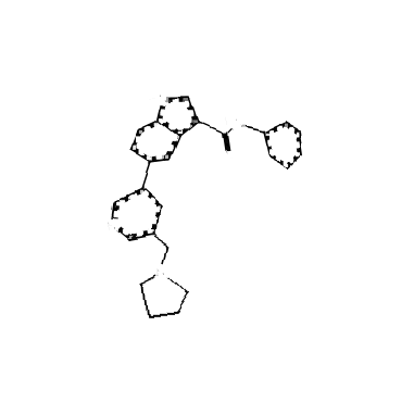 O=C(Nc1ccccc1)c1c[nH]c2ccc(-c3cncc(CN4CCCC4)c3)cc12